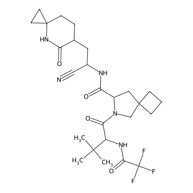 CC(C)(C)C(NC(=O)C(F)(F)F)C(=O)N1CC2(CCC2)CC1C(=O)NC(C#N)CC1CCC2(CC2)NC1=O